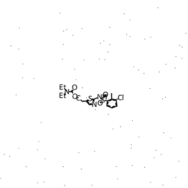 CCN(CC)C(=O)OCCc1cnc(NS(=O)(=O)c2cccc(Cl)c2C)s1